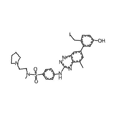 Cc1cc(-c2cc(O)ccc2CI)cc2nnc(Nc3ccc(S(=O)(=O)N(C)CCN4CCCC4)cc3)nc12